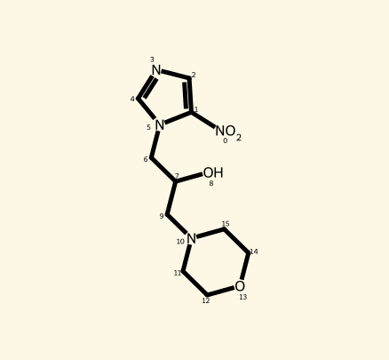 O=[N+]([O-])c1cncn1CC(O)CN1CCOCC1